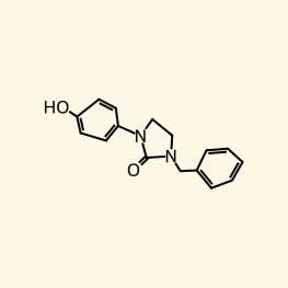 O=C1N(Cc2ccccc2)CCN1c1ccc(O)cc1